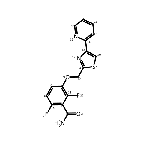 NC(=O)c1c(F)ccc(OCc2nc(-c3ccccn3)cs2)c1F